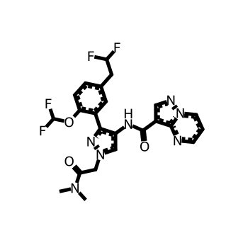 CN(C)C(=O)Cn1cc(NC(=O)c2cnn3cccnc23)c(-c2cc(CC(F)F)ccc2OC(F)F)n1